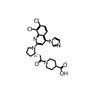 O=C(O)C1CCN(C(=O)C[C@@H]2CCCN2c2cc(-n3ccnc3)c3ccc(Cl)c(Cl)c3n2)CC1